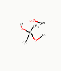 CCO[Si](C)(C)OCC.O=CO